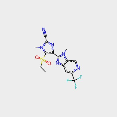 CCS(=O)(=O)c1c(-c2nc3cc(C(F)(F)F)ncc3n2C)nc(C#N)n1C